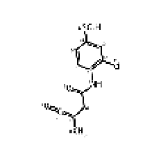 CC(=C=O)CC(=O)Nc1ccc(S(=O)(=O)O)cc1Cl